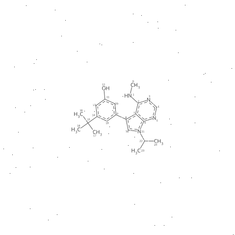 CNc1ncnc2c1c(-c1cc(O)cc(C(C)(C)C)c1)cn2C(C)C